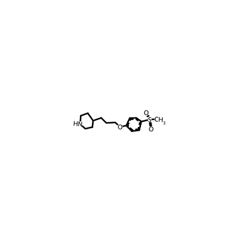 CS(=O)(=O)c1ccc(OCCCC2CCNCC2)cc1